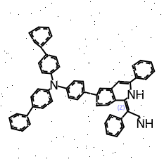 N=C/C(=C1\NC(c2ccccc2)=Cc2cc(-c3ccc(N(c4ccc(-c5ccccc5)cc4)c4ccc(-c5ccccc5)cc4)cc3)ccc21)c1ccccc1